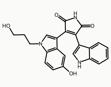 O=C1NC(=O)C(c2cn(CCCO)c3ccc(O)cc23)=C1c1c[nH]c2ccccc12